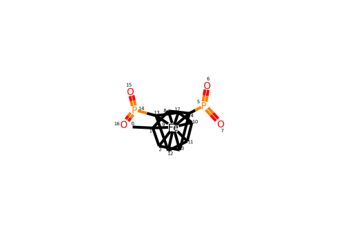 C[C]12[CH]3[CH]4[C]5(P(=O)=O)[CH]1[Fe]34251678[CH]2[CH]1[CH]6[C]7(P(=O)=O)[CH]28